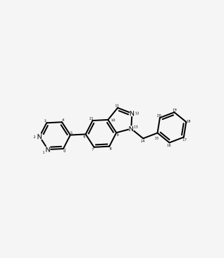 [c]1nnccc1-c1ccc2c(cnn2Cc2ccccc2)c1